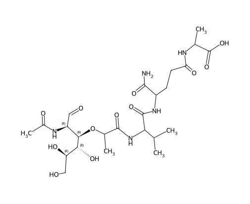 CC(=O)N[C@@H](C=O)[C@@H](OC(C)C(=O)NC(C(=O)NC(CCC(=O)NC(C)C(=O)O)C(N)=O)C(C)C)[C@H](O)[C@H](O)CO